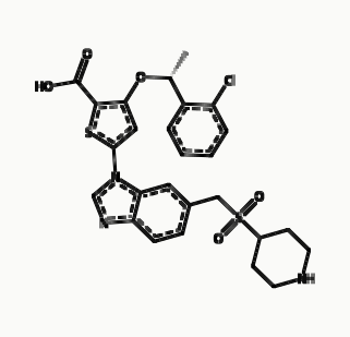 C[C@@H](Oc1cc(-n2cnc3ccc(CS(=O)(=O)C4CCNCC4)cc32)sc1C(=O)O)c1ccccc1Cl